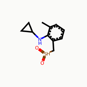 Cc1[c]ccc(C[SH](=O)=O)c1NC1CC1